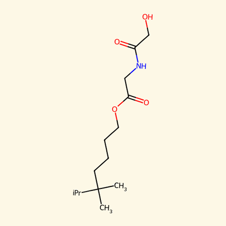 CC(C)C(C)(C)CCCCOC(=O)CNC(=O)CO